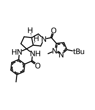 Cc1ccc2c(c1)C(=O)NC1(CC[C@H]3CN(C(=O)c4cc(C(C)(C)C)nn4C)C[C@H]31)N2